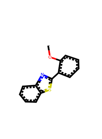 [CH2]Oc1ccccc1-c1nc2ccccc2s1